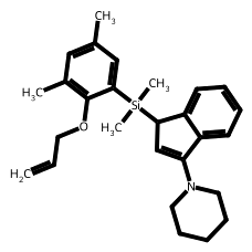 C=CCOc1c(C)cc(C)cc1[Si](C)(C)C1C=C(N2CCCCC2)c2ccccc21